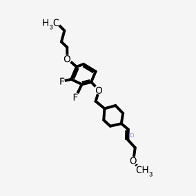 CCCCOc1ccc(OCC2CCC(/C=C/COC)CC2)c(F)c1F